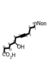 CCCCCCCCCCCCC#CC[C@@H](O)CCCC(=O)O